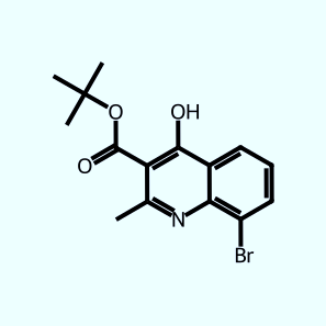 Cc1nc2c(Br)cccc2c(O)c1C(=O)OC(C)(C)C